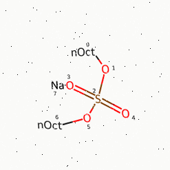 CCCCCCCCOS(=O)(=O)OCCCCCCCC.[Na]